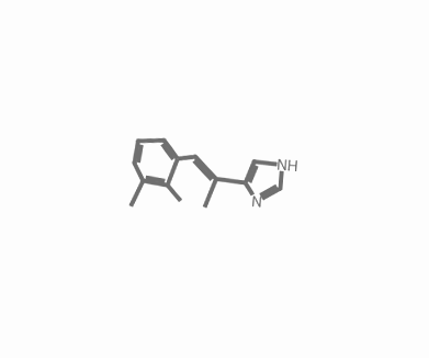 CC(=Cc1cccc(C)c1C)c1c[nH]cn1